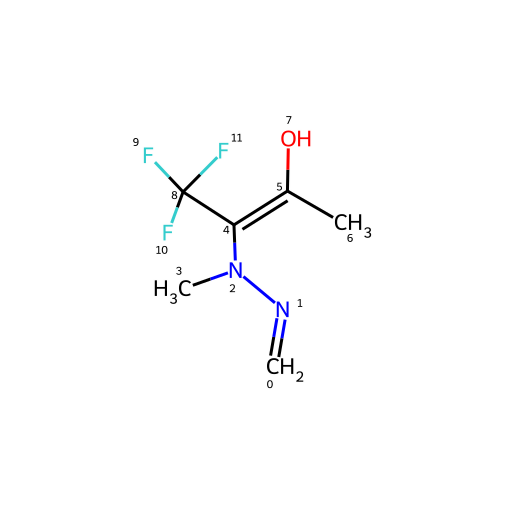 C=NN(C)/C(=C(\C)O)C(F)(F)F